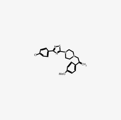 C=C(CN1CCN(c2nc(-c3ccc(Cl)cc3)ns2)CC1)c1ccc(OC)cc1